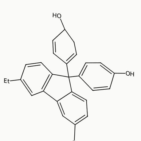 CCc1ccc2c(c1)-c1cc(CC)ccc1C2(C1=CCC(O)C=C1)c1ccc(O)cc1